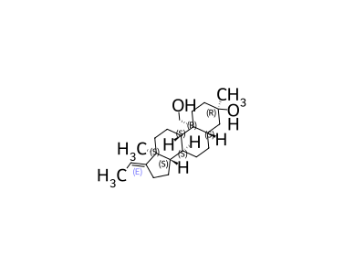 C/C=C1\CC[C@H]2[C@@H]3CC[C@H]4C[C@](C)(O)CC[C@]4(CO)[C@H]3CC[C@]12C